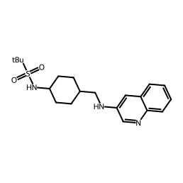 CC(C)(C)S(=O)(=O)NC1CCC(CNc2cnc3ccccc3c2)CC1